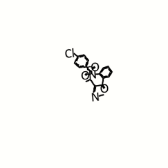 CC1/C(=C/N(C)C)C(=O)c2ccccc2N1S(=O)(=O)c1ccc(Cl)cc1